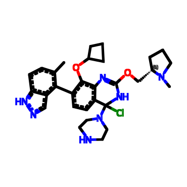 Cc1ccc2[nH]ncc2c1-c1ccc2c(c1OC1CCC1)N=C(OC[C@@H]1CCCN1C)NC2(Cl)N1CCNCC1